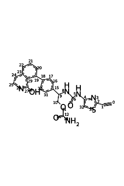 C#Cc1nc(NC(=O)NC(COC(N)=O)c2ccc(-c3cccc4ccnc(O)c34)cc2)cs1